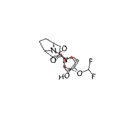 CC1(O)CCN(C2CC3CCC(C2)N3S(=O)(=O)c2ccc(OC(F)F)cc2)C1